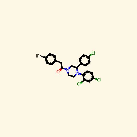 CC(C)c1ccc(CC(=O)N2CCN(c3ccc(Cl)cc3Cl)C(c3ccc(Cl)cc3)C2)cc1